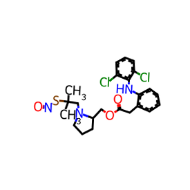 CC(C)(CN1CCCC1COC(=O)Cc1ccccc1Nc1c(Cl)cccc1Cl)SN=O